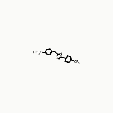 O=C(O)c1ccc(Cc2nc(-c3ccc(C(F)(F)F)cc3)cs2)cc1